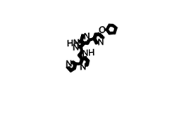 c1cncc(-c2nccc3[nH]c(-c4n[nH]c5cnc(-c6cncc(OC7CCCCC7)c6)cc45)cc23)c1